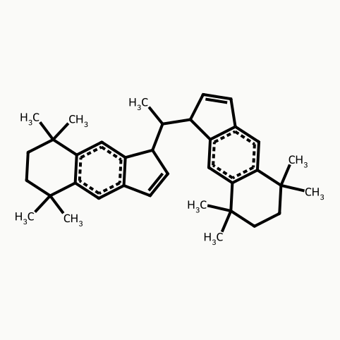 CC(C1C=Cc2cc3c(cc21)C(C)(C)CCC3(C)C)C1C=Cc2cc3c(cc21)C(C)(C)CCC3(C)C